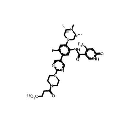 C[C@@H]1CN(c2cc(F)c(-c3cnc(N4CCN(C(=O)CCC(=O)O)CC4)nc3)cc2NC(=O)c2c[nH]c(=O)cc2C(F)(F)F)C[C@H](C)N1C